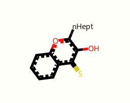 CCCCCCCc1oc2ccccc2c(=S)c1O